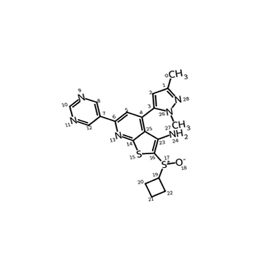 Cc1cc(-c2cc(-c3cncnc3)nc3sc([S+]([O-])C4CCC4)c(N)c23)n(C)n1